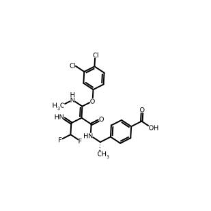 CN/C(Oc1ccc(Cl)c(Cl)c1)=C(\C(=N)C(F)F)C(=O)N[C@@H](C)c1ccc(C(=O)O)cc1